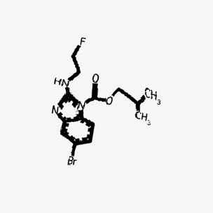 CC(C)COC(=O)n1c(NCCF)nc2cc(Br)ccc21